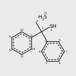 CC(S)(c1ccccc1)c1ccccc1.S